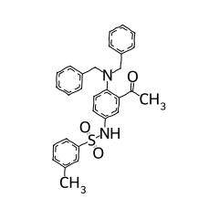 CC(=O)c1cc(NS(=O)(=O)c2cccc(C)c2)ccc1N(Cc1ccccc1)Cc1ccccc1